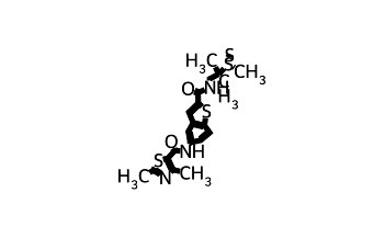 Cc1nc(C)c(C(=O)Nc2ccc3sc(C(=O)NCC(C)(C)S(C)=S)cc3c2)s1